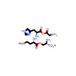 CSCC[C@H](N)C(=O)OC[C@H](N)C(=O)O.NCC(=O)OC(=O)[C@@H](N)Cc1c[nH]cn1